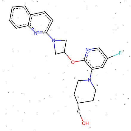 OCC1CCN(c2cc(F)cnc2OC2CN(c3ccc4ccccc4n3)C2)CC1